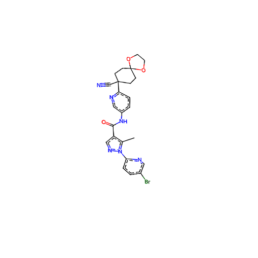 Cc1c(C(=O)Nc2ccc(C3(C#N)CCC4(CC3)OCCO4)nc2)cnn1-c1ccc(Br)cn1